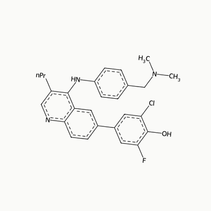 CCCc1cnc2ccc(-c3cc(F)c(O)c(Cl)c3)cc2c1Nc1ccc(CN(C)C)cc1